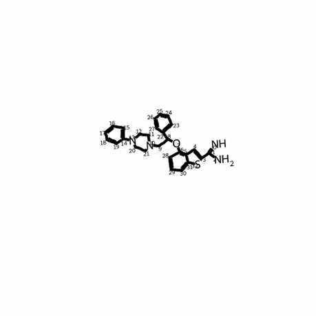 N=C(N)c1cc2c(OC(CN3CCN(c4ccccc4)CC3)c3ccccc3)cccc2s1